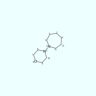 C1CCCN(N2CCOCC2)CC1